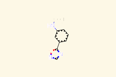 O=C(O)Nc1cccc(-c2ncno2)c1